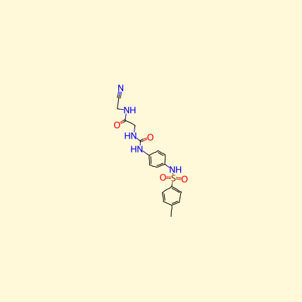 Cc1ccc(S(=O)(=O)Nc2ccc(NC(=O)NCC(=O)NCC#N)cc2)cc1